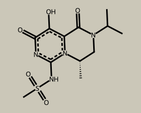 CC(C)N1C[C@H](C)n2c(NS(C)(=O)=O)nc(=O)c(O)c2C1=O